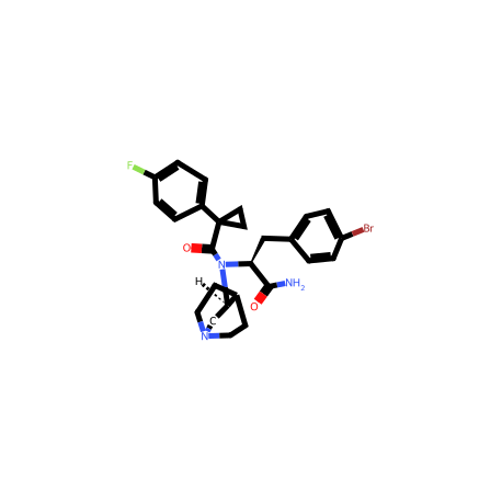 NC(=O)[C@H](Cc1ccc(Br)cc1)N(C(=O)C1(c2ccc(F)cc2)CC1)[C@@H]1CN2CCC1CC2